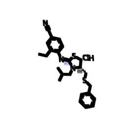 CCc1cc(C#N)ccc1/N=C1\SC[C@H](CSCc2ccccc2)N1CC(C)C.Cl